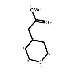 COC(=O)CC1CCSCC1